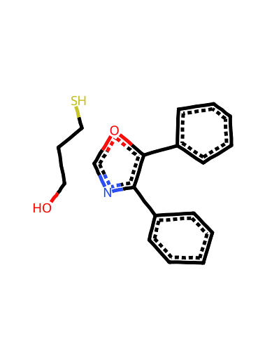 OCCCS.c1ccc(-c2ncoc2-c2ccccc2)cc1